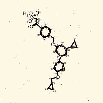 CS(=O)(=O)NC(=O)c1ccc(COc2cc(-c3ccc(OCC4CC4)nc3)cc(C3CC3)c2)cc1